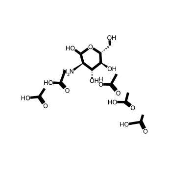 CC(=O)O.CC(=O)O.CC(=O)O.CC(=O)O.CC(=O)O.N[C@H]1C(O)O[C@H](CO)[C@@H](O)[C@@H]1O